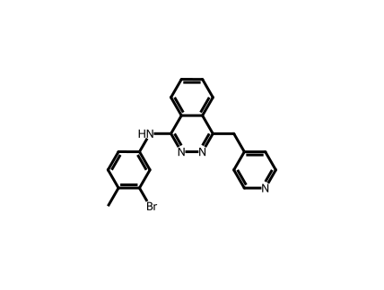 Cc1ccc(Nc2nnc(Cc3ccncc3)c3ccccc23)cc1Br